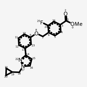 COC(=O)c1ccc(COc2cccc(-c3ccn(CC4CC4)n3)c2)c(F)c1